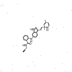 C#CCNC(=O)c1ccccc1Nc1ccc2c(C=CC3(C)C=C(C)C=CN3)n[nH]c2c1